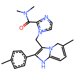 CC1=CC=C2NC(c3ccc(C)cc3)=C(Cn3ccnc3C(=O)N(C)C)N2C1